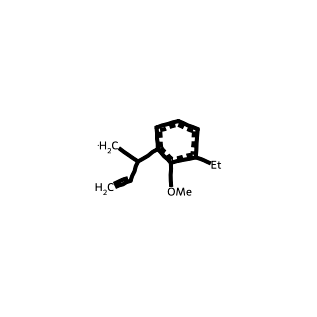 [CH2]C(C=C)c1cccc(CC)c1OC